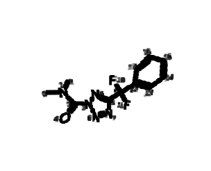 CN(C)C(=O)n1nnc(C(F)(F)c2ccccc2)n1